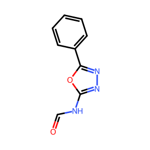 O=CNc1nnc(-c2ccccc2)o1